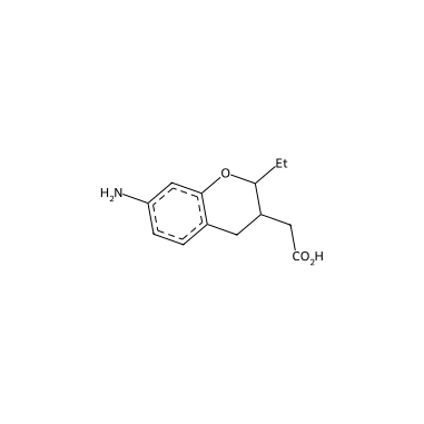 CCC1Oc2cc(N)ccc2CC1CC(=O)O